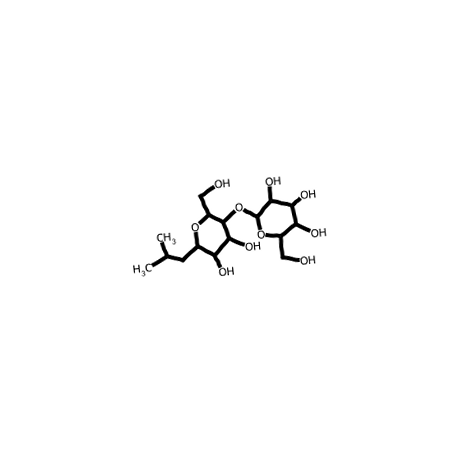 CC(C)CC1OC(CO)C(OC2OC(CO)C(O)C(O)C2O)C(O)C1O